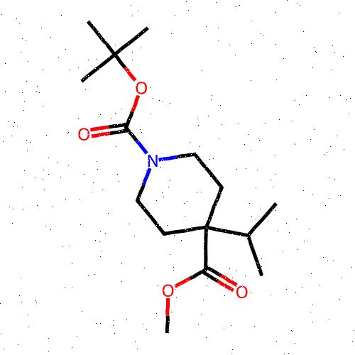 COC(=O)C1(C(C)C)CCN(C(=O)OC(C)(C)C)CC1